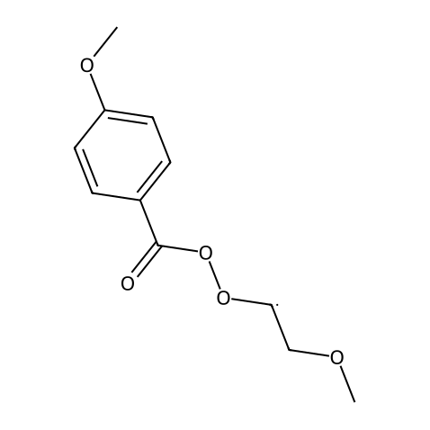 COC[CH]OOC(=O)c1ccc(OC)cc1